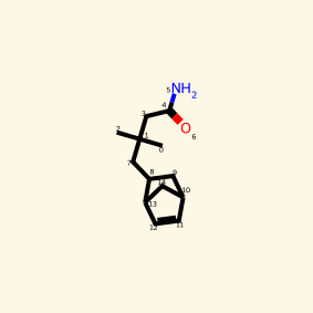 CC(C)(CC(N)=O)CC1CC2C=CC1C2